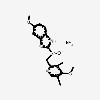 COc1ccc2[nH]c([S@@+]([O-])Cc3ncc(C)c(OC)c3C)nc2c1.N